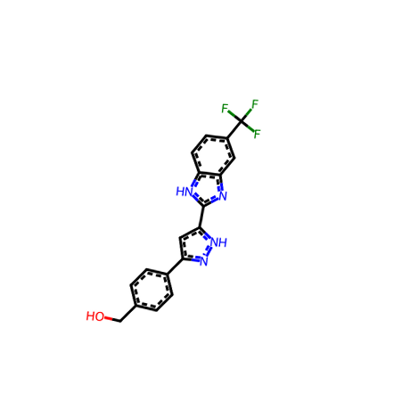 OCc1ccc(-c2cc(-c3nc4cc(C(F)(F)F)ccc4[nH]3)[nH]n2)cc1